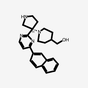 OCC1CCN([C@@]2(c3nccc(-c4ccc5ccccc5c4)n3)CCNC2)CC1